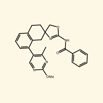 COc1ncc(-c2cccc3c2CC2(CC3)COC(NC(=O)c3ccccc3)=N2)c(C)n1